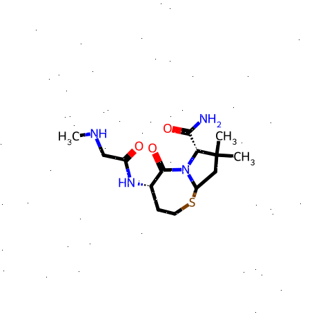 CNCC(=O)N[C@H]1CCSC2CC(C)(C)[C@@H](C(N)=O)N2C1=O